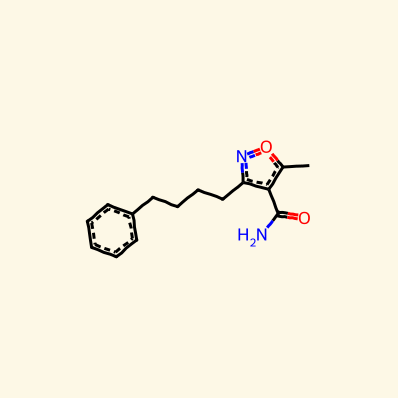 Cc1onc(CCCCc2ccccc2)c1C(N)=O